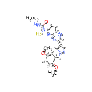 CCNC(=O)N(S)c1ccc2ncc(-c3cnn(Cc4cc(OC)ccc4OC)c3)nc2n1